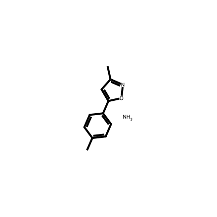 Cc1ccc(-c2cc(C)no2)cc1.N